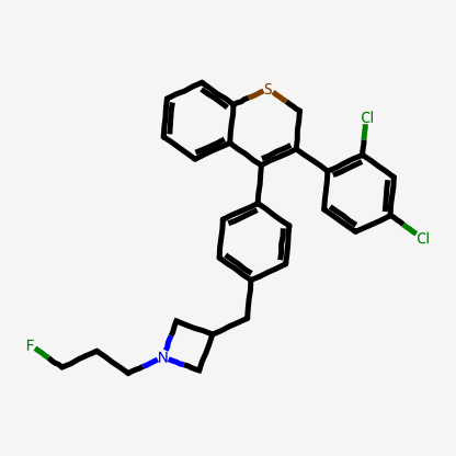 FCCCN1CC(Cc2ccc(C3=C(c4ccc(Cl)cc4Cl)CSc4ccccc43)cc2)C1